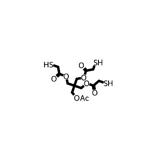 CC(=O)OCC(COC(=O)CS)(COC(=O)CS)COC(=O)CS